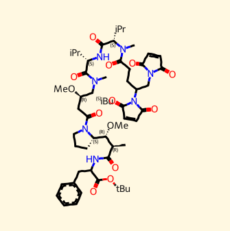 CC[C@H](C)C([C@@H](CC(=O)N1CCC[C@H]1[C@H](OC)[C@@H](C)C(=O)NC(Cc1ccccc1)C(=O)OC(C)(C)C)OC)N(C)C(=O)[C@@H](NC(=O)[C@H](C(C)C)N(C)C(=O)CCC(CN1C(=O)C=CC1=O)N1C(=O)C=CC1=O)C(C)C